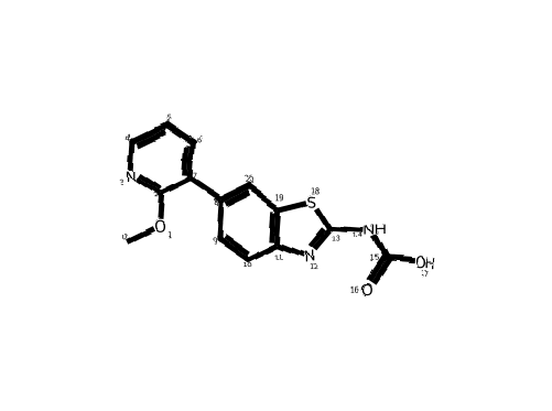 COc1ncccc1-c1ccc2nc(NC(=O)O)sc2c1